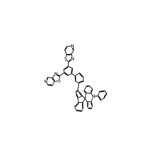 c1ccc(N2c3ccccc3C3(c4ccccc4-c4ccc(-c5cccc(-c6cc(-c7nc8cnccc8s7)cc(-c7nc8cnccc8s7)c6)c5)cc43)c3ccccc32)cc1